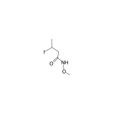 CONC(=O)CC(C)I